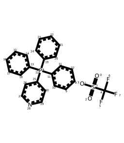 O=S(=O)([O-])C(F)(F)F.c1ccc([P+](c2ccccc2)(c2ccccc2)c2ccncc2)cc1